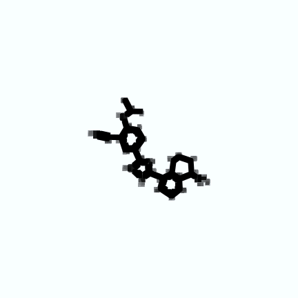 CC(C)Oc1ccc(-c2nc(-c3cccc4c3CCCC4N)no2)cc1C#N